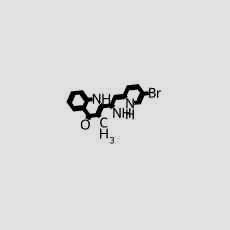 Cc1c(C(=N)/C=C2/C=CC(Br)=CN2)[nH]c2ccccc2c1=O